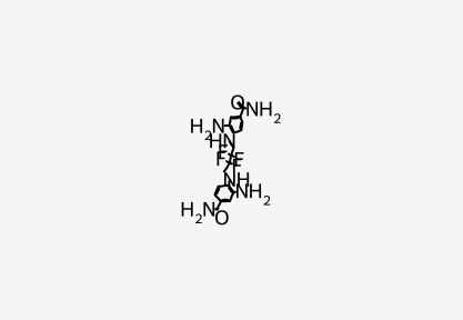 NC(=O)c1ccc(NCC(F)(F)C(F)(F)CNc2ccc(C(N)=O)cc2N)c(N)c1